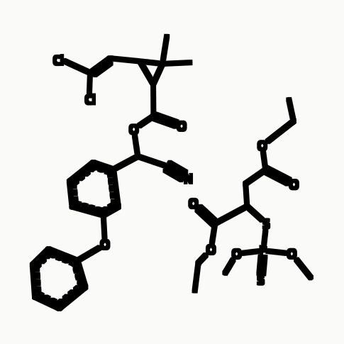 CC1(C)C(C=C(Cl)Cl)C1C(=O)OC(C#N)c1cccc(Oc2ccccc2)c1.CCOC(=O)CC(SP(=S)(OC)OC)C(=O)OCC